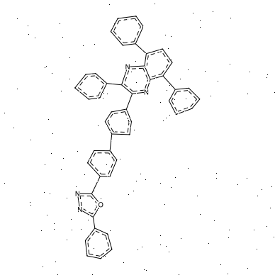 c1ccc(-c2nnc(-c3ccc(-c4ccc(-c5nc6c(-c7ccccc7)ccc(-c7ccccc7)c6nc5-c5ccccc5)cc4)cc3)o2)cc1